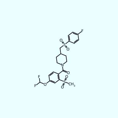 CS(=O)(=O)c1cc(OC(F)F)ccc1C(=O)N1CCC(CS(=O)(=O)c2ccc(F)cc2)CC1